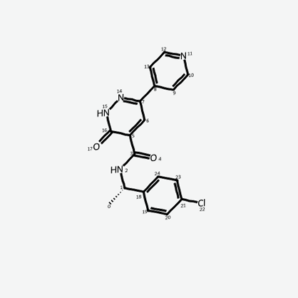 C[C@H](NC(=O)c1cc(-c2ccncc2)n[nH]c1=O)c1ccc(Cl)cc1